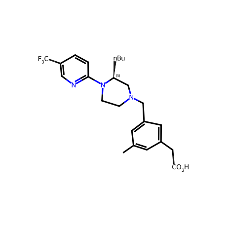 CCCC[C@H]1CN(Cc2cc(C)cc(CC(=O)O)c2)CCN1c1ccc(C(F)(F)F)cn1